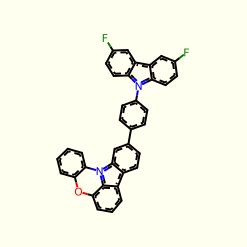 Fc1ccc2c(c1)c1cc(F)ccc1n2-c1ccc(-c2ccc3c4cccc5c4n(c3c2)-c2ccccc2O5)cc1